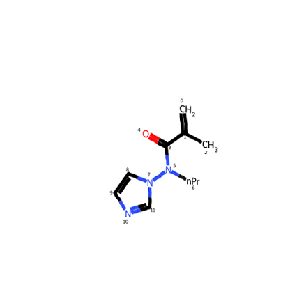 C=C(C)C(=O)N(CCC)n1ccnc1